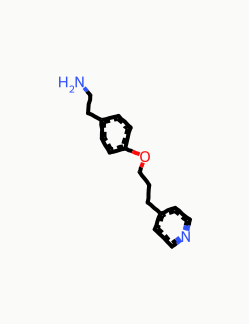 NCCc1ccc(OCCCc2ccncc2)cc1